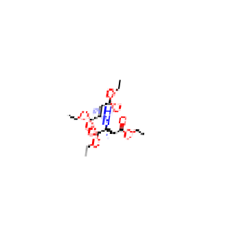 CCOC(=O)/C=C(\N/C(=C\C(=O)OCC)C(=O)OCC)C(=O)OCC